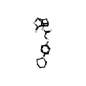 O=C(COc1ccc([S+]2CCCCC2)cc1)OC1C2CC3C(=O)OC1C3C2